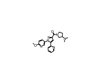 COc1ccc(-n2nc(C(=O)N3CCC(N(C)C)C3)cc2-c2ccccn2)cn1